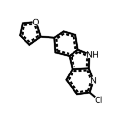 Clc1ccc2c(n1)[nH]c1ccc(-c3ccco3)cc12